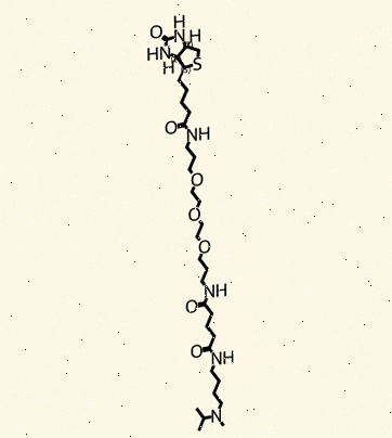 CC(C)N(C)CCCCNC(=O)CCCC(=O)NCCCOCCOCCOCCCNC(=O)CCCC[C@@H]1SC[C@@H]2NC(=O)N[C@@H]21